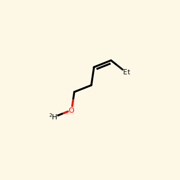 [2H]OCC/C=C\CC